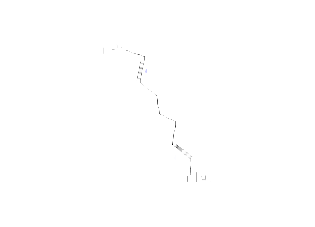 [CH2]CC/C=C/CCC/C=C/CCCC